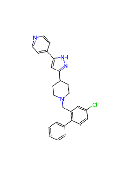 Clc1c[c]c(-c2ccccc2)c(CN2CCC(c3cc(-c4ccncc4)[nH]n3)CC2)c1